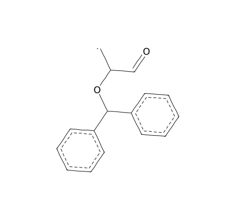 [CH2]C(C=O)OC(c1ccccc1)c1ccccc1